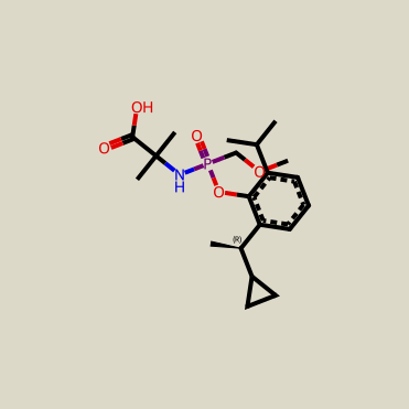 COCP(=O)(NC(C)(C)C(=O)O)Oc1c(C(C)C)cccc1[C@H](C)C1CC1